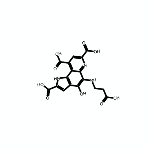 O=C(O)CCNc1c(O)c2cc(C(=O)O)[nH]c2c2c(C(=O)O)cc(C(=O)O)nc12